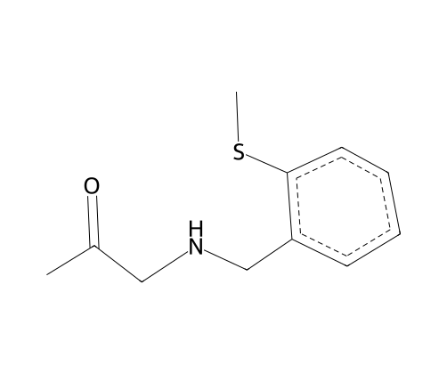 CSc1ccccc1CNCC(C)=O